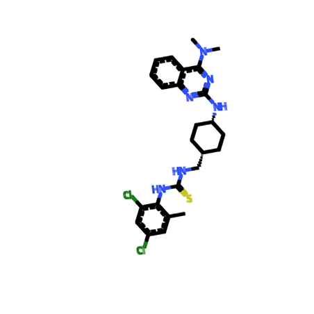 Cc1cc(Cl)cc(Cl)c1NC(=S)NC[C@H]1CC[C@@H](Nc2nc(N(C)C)c3ccccc3n2)CC1